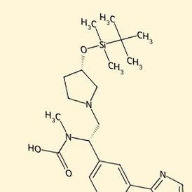 CN(C(=O)O)[C@H](CN1CC[C@H](O[Si](C)(C)C(C)(C)C)C1)c1cccc(-c2nccs2)c1